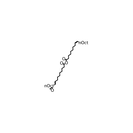 C1CO1.CCCCCCCCC=CCCCCCCCC(=O)OC(=O)CCCCCCC/C=C\CCCCCCCC